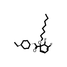 CCCCCCCCOC1(C(=O)C[C@H]2CC[C@H](CC)CC2)C=CC=C(F)C1F